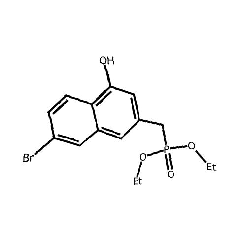 CCOP(=O)(Cc1cc(O)c2ccc(Br)cc2c1)OCC